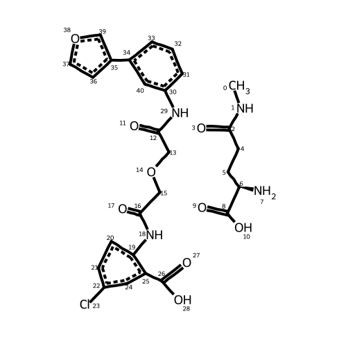 CNC(=O)CC[C@@H](N)C(=O)O.O=C(COCC(=O)Nc1ccc(Cl)cc1C(=O)O)Nc1cccc(-c2ccoc2)c1